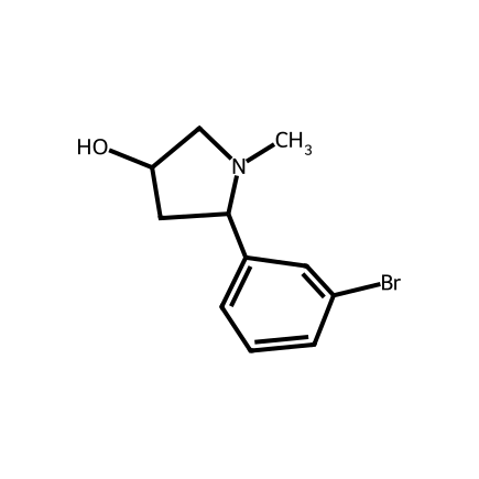 CN1CC(O)CC1c1cccc(Br)c1